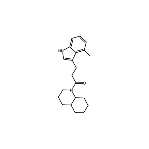 Cc1cccc2[nH]cc(CCC(=O)N3CCCC4CCCCC43)c12